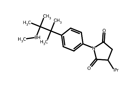 CBC(C)(C)C(C)(C)c1ccc(N2C(=O)CC(C(C)C)C2=O)cc1